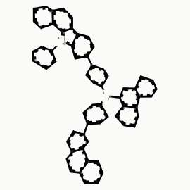 c1ccc(-n2c3cc(-c4ccc(N(c5ccc(-c6ccc7ccc8ccccc8c7c6)cc5)c5cc6ccccc6c6ccccc56)cc4)ccc3c3ccc4ccccc4c32)cc1